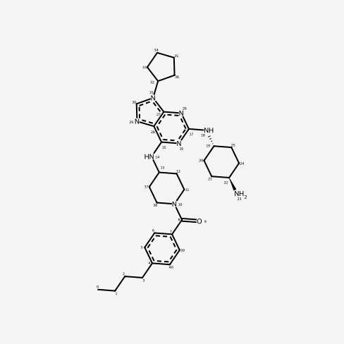 CCCCc1ccc(C(=O)N2CCC(Nc3nc(N[C@H]4CC[C@H](N)CC4)nc4c3ncn4C3CCCC3)CC2)cc1